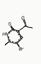 CC(=O)c1cc(Br)c(C)[nH]c1=O